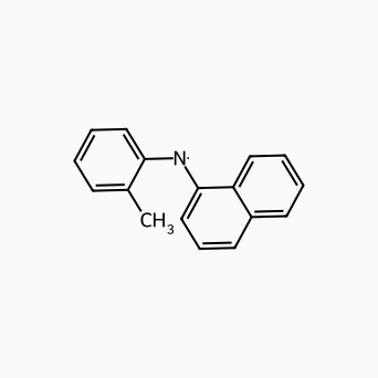 Cc1ccccc1[N]c1cccc2ccccc12